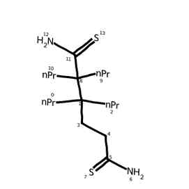 CCCC(CCC)(CCC(N)=S)C(CCC)(CCC)C(N)=S